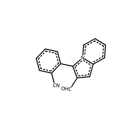 N#Cc1ccccc1-c1c(C=O)cc2ccccn12